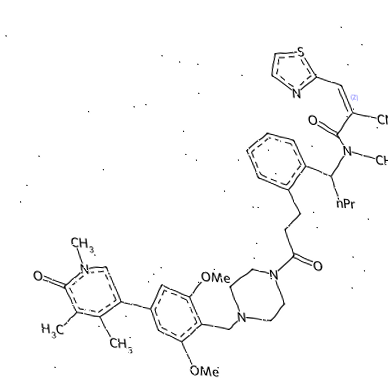 CCCC(c1ccccc1CCC(=O)N1CCN(Cc2c(OC)cc(-c3cn(C)c(=O)c(C)c3C)cc2OC)CC1)N(C)C(=O)/C(C#N)=C\c1nccs1